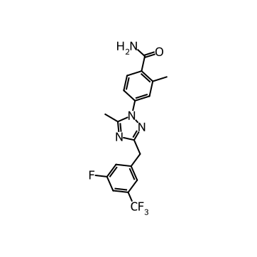 Cc1cc(-n2nc(Cc3cc(F)cc(C(F)(F)F)c3)nc2C)ccc1C(N)=O